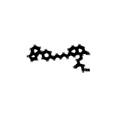 CCCCCCOC(=O)OCn1c(=O)ccc2ccc(OCCCCN3CCN(c4cccc5sccc45)CC3)cc21